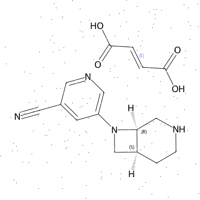 N#Cc1cncc(N2C[C@@H]3CCNC[C@@H]32)c1.O=C(O)/C=C/C(=O)O